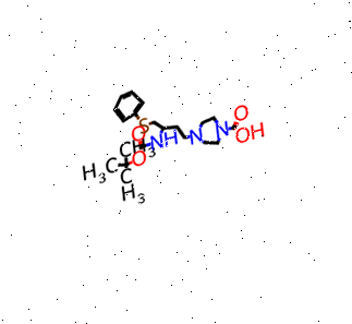 CC(C)(C)OC(=O)NC(CCN1CCN(C(=O)O)CC1)CSc1ccccc1